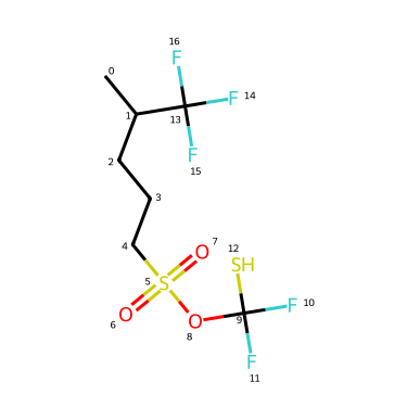 CC(CCCS(=O)(=O)OC(F)(F)S)C(F)(F)F